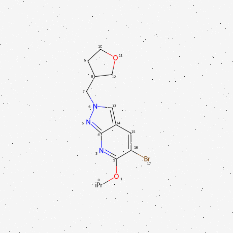 CC(C)Oc1nc2nn(CC3CCOC3)cc2cc1Br